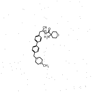 CN1CCN(Cc2ccc(-c3ccc(CC(C#N)NC(=O)C4(N)CCOCC4)cc3)cc2)CC1